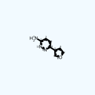 Nc1ccc(-c2ccoc2)nn1